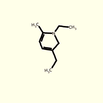 CCC1=CC=C(C)N(CC)C1